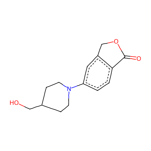 O=C1OCc2cc(N3CCC(CO)CC3)ccc21